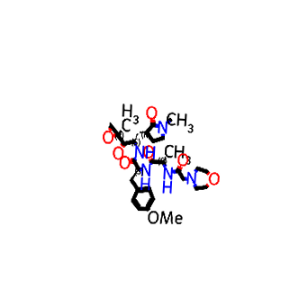 COc1ccc(C[C@H](NC(=O)[C@H](C)NC(=O)CN2CCOCC2)C(=O)N[C@@H](C[C@H]2CCN(C)C2=O)C(=O)[C@@]2(C)CO2)cc1